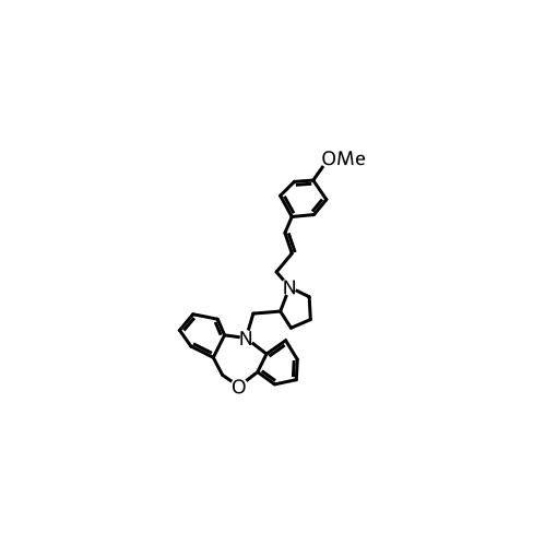 COc1ccc(C=CCN2CCCC2CN2c3ccccc3COc3ccccc32)cc1